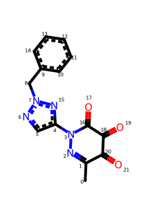 CC1=NN(c2cnn(Cc3ccccc3)n2)C(=O)C(=O)C1=O